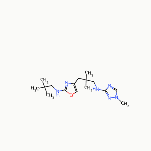 Cn1cnc(NCC(C)(C)Cc2coc(NCC(C)(C)C)n2)n1